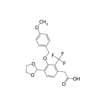 COc1ccc(COc2c(C3OCCO3)ccc(CC(=O)O)c2C(F)(F)F)cc1